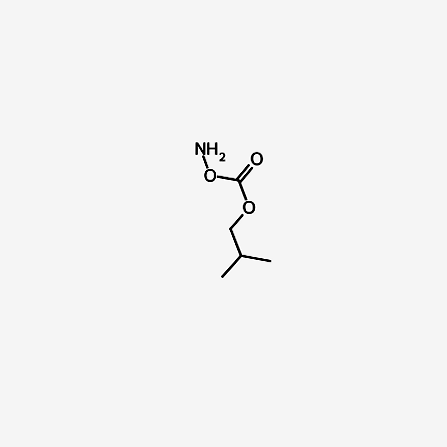 CC(C)COC(=O)ON